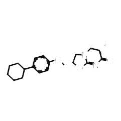 O=C1N=C2O[C@H](COc3ccc(C4CCCCC4)cc3)CN2C[C@@H]1I